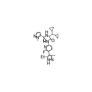 CCc1[nH]nc(C)c1-c1ccc(NC(=O)C(NC(=O)c2ccnn2C)C(C2CC2)C2CC2)nc1F